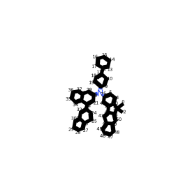 CC1(C)c2ccc(N(c3ccc(-c4ccccc4)cc3)c3cc(-c4ccc5ccccc5c4)c4ccccc4c3)cc2-c2cc3ccccc3cc21